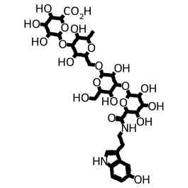 CC1OC(COC2OC(CO)C(O)C(OC3OC(C(=O)NCCc4c[nH]c5ccc(O)cc45)C(O)C(O)C3O)C2O)C(O)C(OC2OC(C(=O)O)C(O)C(O)C2O)C1O